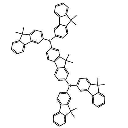 CC1(C)c2ccccc2-c2cc(N(c3ccc4c(c3)-c3ccccc3C4(C)C)c3ccc4c(c3)C(C)(C)c3cc(N(c5ccc6c(c5)-c5ccccc5C6(C)C)c5ccc6c(c5)C(C)(C)c5ccccc5-6)ccc3-4)ccc21